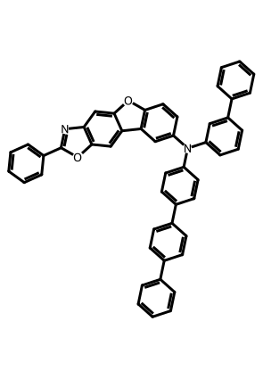 c1ccc(-c2ccc(-c3ccc(N(c4cccc(-c5ccccc5)c4)c4ccc5oc6cc7nc(-c8ccccc8)oc7cc6c5c4)cc3)cc2)cc1